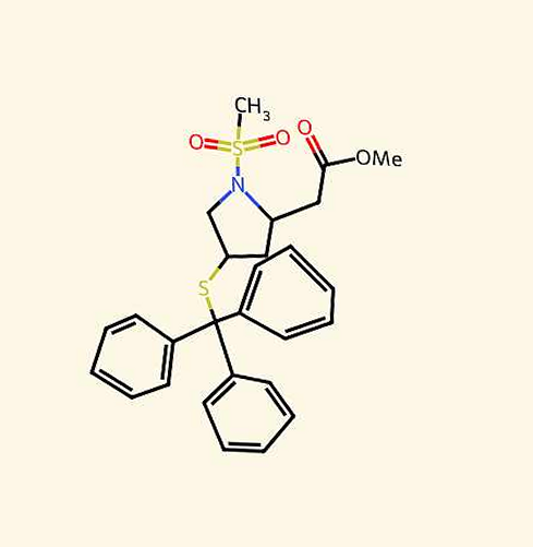 COC(=O)CC1CC(SC(c2ccccc2)(c2ccccc2)c2ccccc2)CN1S(C)(=O)=O